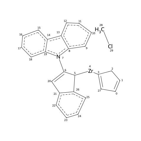 C1=CC[C]([Zr][CH]2C(n3c4ccccc4c4ccccc43)=Cc3ccccc32)=C1.CCl